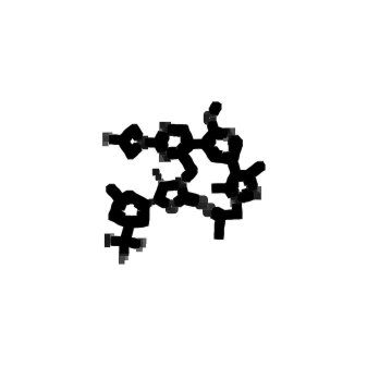 COc1ncc(-c2c(C)nn(CC(C)=O)c2C)cc1-c1cnc(N2CC(F)C2)nc1CN1C(=O)O[C@H](c2cc(C)cc(C(F)(F)F)c2)[C@@H]1C